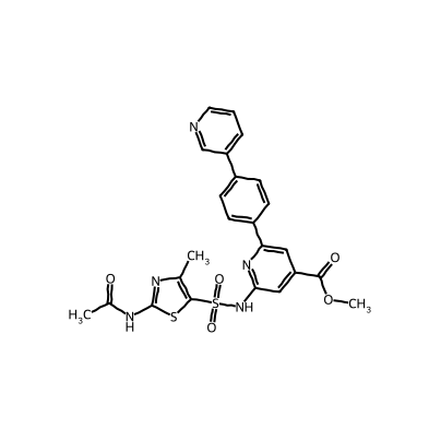 COC(=O)c1cc(NS(=O)(=O)c2sc(NC(C)=O)nc2C)nc(-c2ccc(-c3cccnc3)cc2)c1